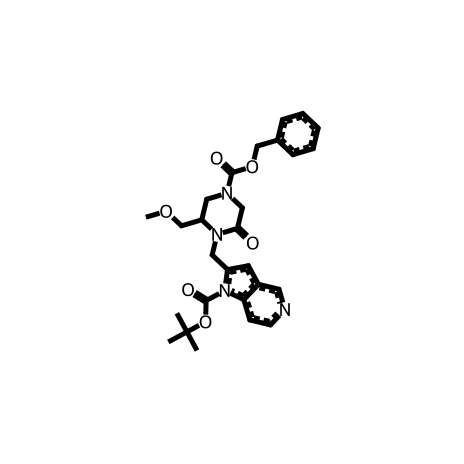 COCC1CN(C(=O)OCc2ccccc2)CC(=O)N1Cc1cc2cnccc2n1C(=O)OC(C)(C)C